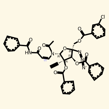 C#C[C@]1(OC(=O)c2ccccc2)[C@H](N(/C=C\C(=O)NC(=O)c2ccccc2)C(C)=O)O[C@@](COC(=O)c2cccc(Cl)c2)(N=[N+]=[N-])[C@H]1OC(=O)c1ccccc1